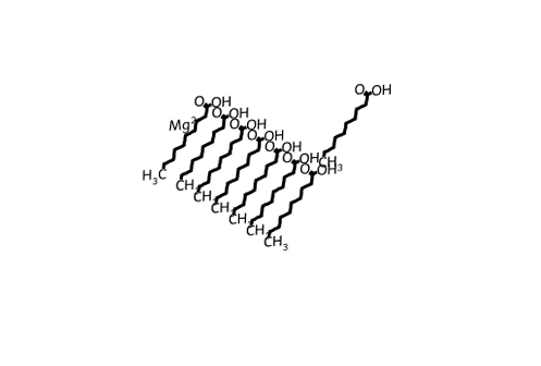 CCCCCCCCCC(=O)O.CCCCCCCCCC(=O)O.CCCCCCCCCC(=O)O.CCCCCCCCCC(=O)O.CCCCCCCCCC(=O)O.CCCCCCCCCC(=O)O.CCCCCCCCCC(=O)O.CCCCCCCCCC(=O)O.[Mg+2]